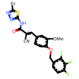 CCc1nnc(NC(=O)/C(C#N)=C/c2ccc(OCc3ccc(F)c(F)c3F)c(OC)c2)s1